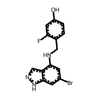 Oc1ccc(CNc2cc(Br)cc3[nH]ncc23)c(F)c1